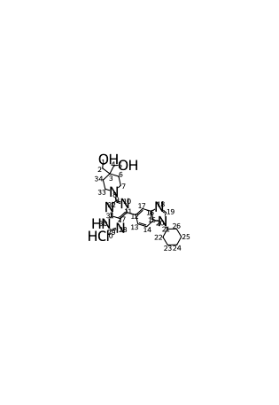 Cl.OCC1(CO)CCN(c2nc(-c3ccc4c(c3)ncn4C3CCCCC3)c3nc[nH]c3n2)CC1